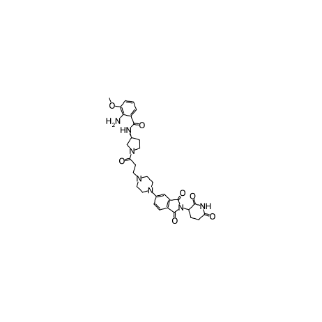 COc1cccc(C(=O)N[C@H]2CCN(C(=O)CCN3CCN(c4ccc5c(c4)C(=O)N(C4CCC(=O)NC4=O)C5=O)CC3)C2)c1N